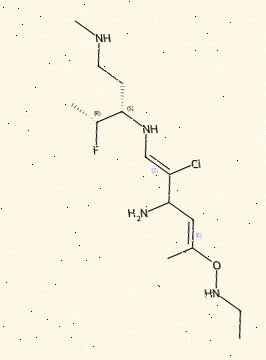 CCNO/C(C)=C/C(N)/C(Cl)=C/N[C@@H](CCNC)[C@@H](C)F